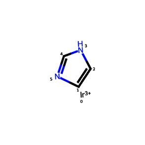 [Ir+3].c1c[nH]cn1